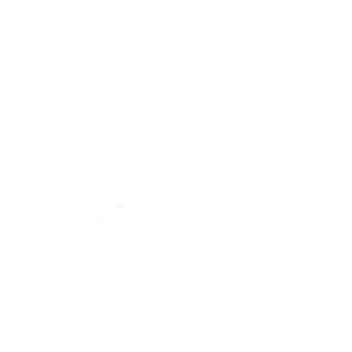 CCCCOc1ccc2c(c1)-c1ccccc1N(C(=O)CCl)C=C2